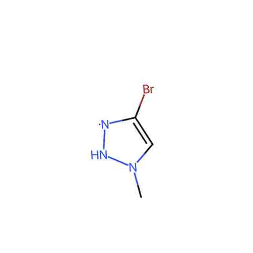 CN1C=C(Br)[N]N1